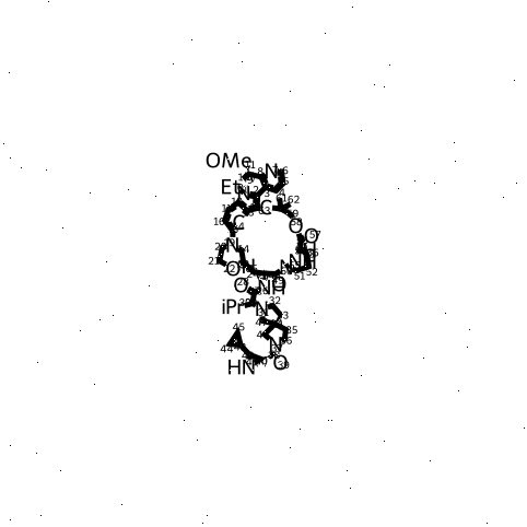 CCn1c(-c2cccnc2[C@H](C)OC)c2c3cc(ccc31)N1CCO[C@@H](C[C@H](NC(=O)C(C(C)C)N3CC[C@]4(CCN(C(=O)[C@@H]5NC5C5CC5)C4)C3)C(=O)N3CCC[C@H](N3)C(=O)OCC(C)(C)C2)C1